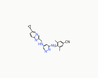 Cc1cc(C#N)cc(C)c1CNc1cc(NCc2cn3cc(C4CC4)ccc3n2)cnn1